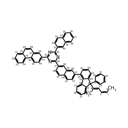 C/C=C\C=C(/C)C1(c2ccccc2)c2ccccc2-c2c(-c3ccc4ccc(-c5nc(-c6ccc7ccccc7c6)nc(-c6ccc7c(ccc8ccccc87)c6)n5)cc4c3)cccc21